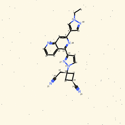 CCn1cc(-c2cc3ncccc3c(-c3ccn([C@]4(CC#N)C[C@@H](C#N)C4)n3)n2)cn1